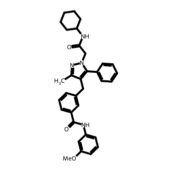 COc1cccc(NC(=O)c2cccc(Cc3c(C)nn(CC(=O)NC4CCCCC4)c3-c3ccccc3)c2)c1